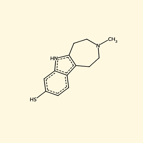 CN1CCc2[nH]c3cc(S)ccc3c2CC1